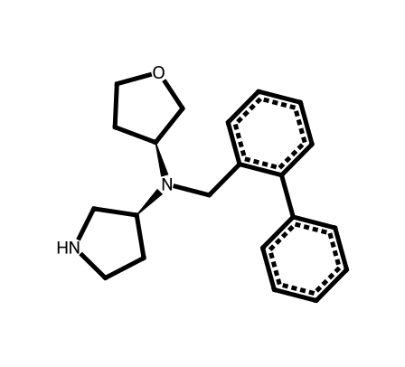 c1ccc(-c2ccccc2CN([C@H]2CCNC2)[C@H]2CCOC2)cc1